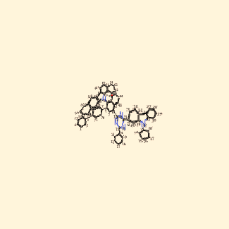 c1ccc(-c2ccc(-c3cc(-c4nc(-c5ccccc5)nc(-c5ccc6c7ccccc7n(-c7ccccc7)c6c5)n4)c4ccccc4c3-n3c4cc5ccccc5cc4c4ccc5ccccc5c43)cc2)cc1